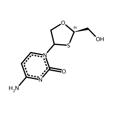 Nc1ccn(C2CO[C@@H](CO)S2)c(=O)n1